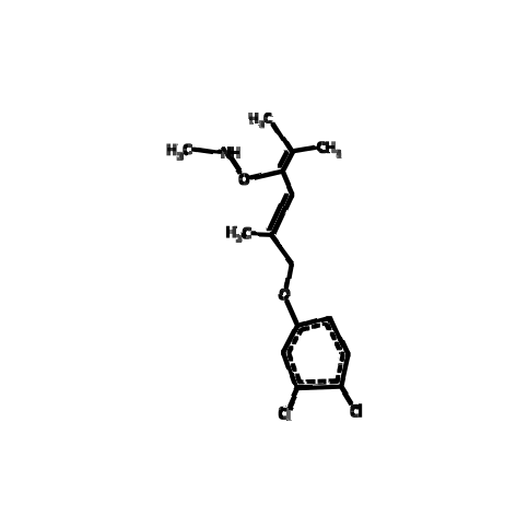 CNOC(/C=C(\C)COc1ccc(Cl)c(Cl)c1)=C(C)C